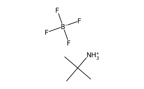 CC(C)(C)[NH3+].F[B-](F)(F)F